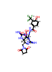 N=C1N[C@H]2[C@H](CN3C(=O)CCC3=O)NC(=N)N3CC(NC(=O)c4ccc(O)c(C(F)(F)F)c4)C(O)(O)[C@]23N1